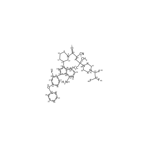 CC(C)(C=C(C#N)C(=O)N1CCCC(n2nc(-c3ccc(Oc4ccccc4)cc3F)c3c(N)ncnc32)C1)N1CCN(C(F)C(F)F)CC1